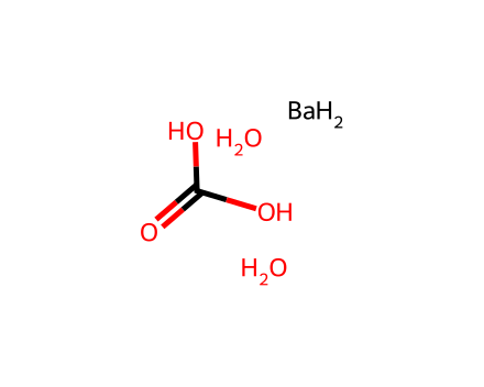 O.O.O=C(O)O.[BaH2]